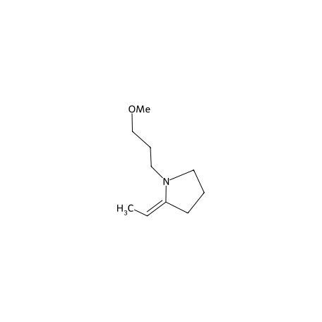 CC=C1CCCN1CCCOC